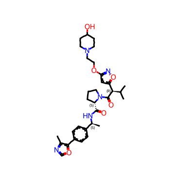 Cc1ncoc1-c1ccc([C@H](C)NC(=O)[C@@H]2CCCN2C(=O)[C@@H](c2cc(OCCN3CCC(O)CC3)no2)C(C)C)cc1